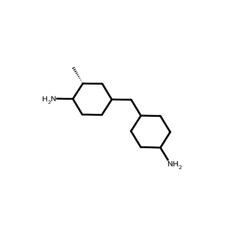 C[C@@H]1CC(CC2CCC(N)CC2)CCC1N